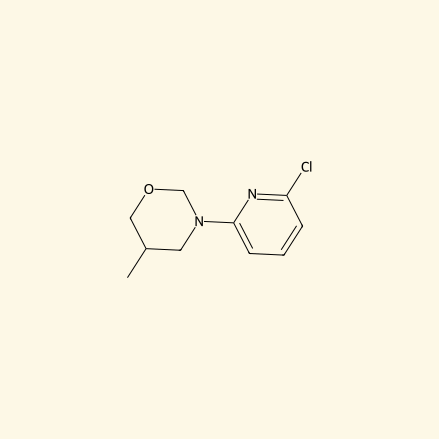 CC1COCN(c2cccc(Cl)n2)C1